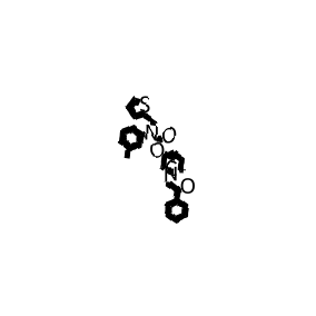 Cc1cccc(N(Cc2cccs2)C(=O)OC2C[N+]3(CC(=O)c4ccccc4)CCC2CC3)c1